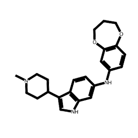 CN1CCC(c2c[nH]c3cc(Nc4ccc5c(c4)OCCCO5)ccc23)CC1